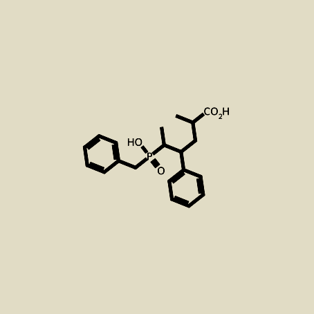 CC(CC(c1ccccc1)C(C)P(=O)(O)Cc1ccccc1)C(=O)O